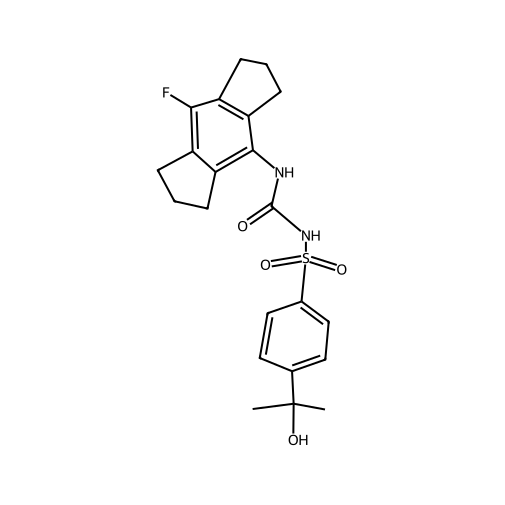 CC(C)(O)c1ccc(S(=O)(=O)NC(=O)Nc2c3c(c(F)c4c2CCC4)CCC3)cc1